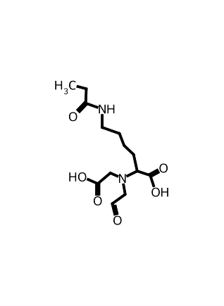 CCC(=O)NCCCCC(C(=O)O)N(CC=O)CC(=O)O